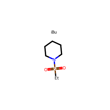 CC[C@H](C)C1CCN(S(=O)(=O)CC)CC1